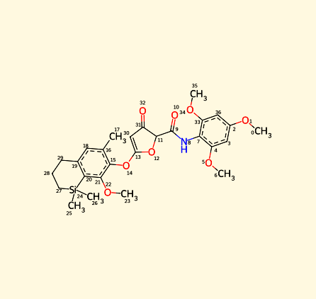 COc1cc(OC)c(NC(=O)C2OC(Oc3c(C)cc4c(c3OC)[Si](C)(C)CCC4)=CC2=O)c(OC)c1